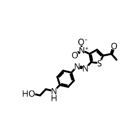 CC(=O)c1cc([N+](=O)[O-])c(N=Nc2ccc(NCCO)cc2)s1